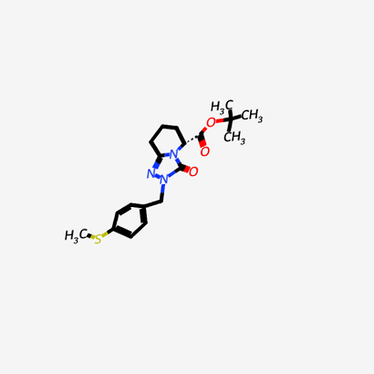 CSc1ccc(Cn2nc3n(c2=O)[C@@H](C(=O)OC(C)(C)C)CCC3)cc1